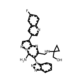 Nc1c(-n2nnc3ccccc32)c(CNC2(CO)CC2)nc2c(-c3cnc4ccc(F)cc4c3)cnn12